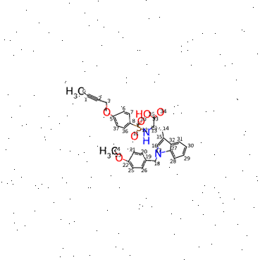 CC#CCOc1ccc(S(=O)(=O)N[C@@H](Cc2cn(Cc3ccc(OC)cc3)c3ccccc23)C(=O)O)cc1